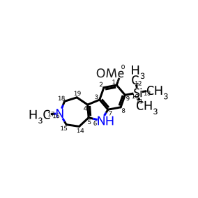 COc1cc2c3c([nH]c2cc1[Si](C)(C)C)CCN(C)CC3